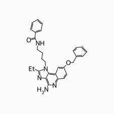 CCc1nc2c(N)nc3ccc(OCc4ccccc4)cc3c2n1CCCCNC(=O)c1ccccc1